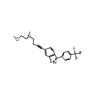 COCCN(C)CCC#Cc1ccc2c(-c3ccc(C(F)(F)F)cc3)nsc2c1